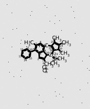 CC1=Cc2c(ccc(C)c2-c2ccccc2)[CH]1[Zr+2]([C]1=C(C)C(C)=C(C)C1C)=[Si](C)C.[Cl-].[Cl-]